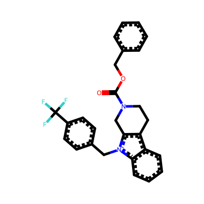 O=C(OCc1ccccc1)N1CCc2c(n(Cc3ccc(C(F)(F)F)cc3)c3ccccc23)C1